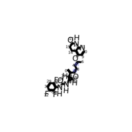 C=C1/C(=C\C=C(/C)Oc2ccnc3c2CCC(=O)N3)O[C@@H]2[C@@H](NC(=O)Nc3c(F)ccc(F)c3F)[C@H]12